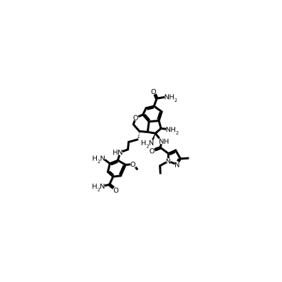 CCn1nc(C)cc1C(=O)N[C@@]1(N)C(N)c2cc(C(N)=O)cc3c2C1[C@H](CCCNc1c(N)cc(C(N)=O)cc1OC)CO3